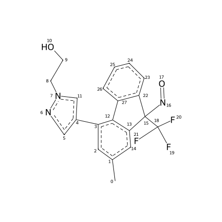 Cc1cc(-c2cnn(CCO)c2)c2c(c1)C(N=O)(C(F)(F)F)c1ccccc1-2